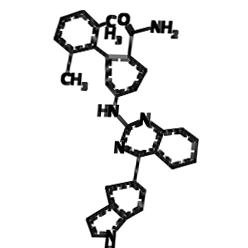 Cc1cccc(C)c1-c1cc(Nc2nc(-c3ccc4[nH]ccc4c3)c3ccccc3n2)ccc1C(N)=O